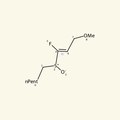 CCCCCC[S+]([O-])/C(F)=C/COC